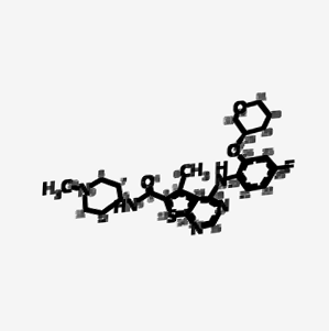 Cc1c(C(=O)NC2CCN(C)CC2)sc2ncnc(Nc3ccc(F)cc3O[C@@H]3CCCOC3)c12